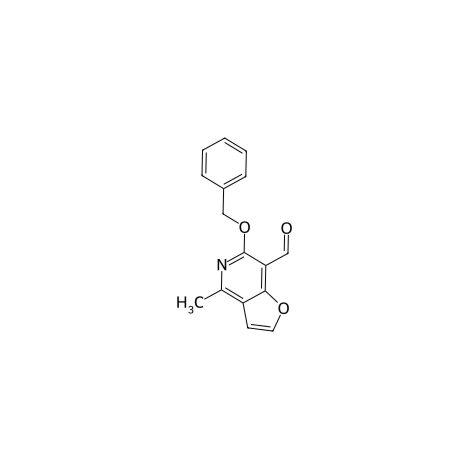 Cc1nc(OCc2ccccc2)c(C=O)c2occc12